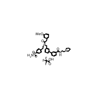 COc1cccc(CC(=O)N(CCc2ccc(S(N)(=O)=O)cc2)Cc2cccc(-c3cccc(C(=O)NCCN4CCCC4)c3)c2)c1.O=C(O)C(F)(F)F